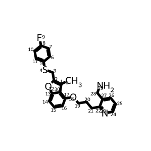 Cc1c(CSc2ccc(F)cc2)oc2cccc(OCCCc3ncccc3CN)c12